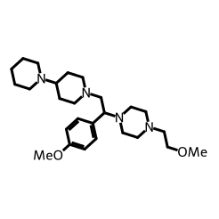 COCCN1CCN(C(CN2CCC(N3CCCCC3)CC2)c2ccc(OC)cc2)CC1